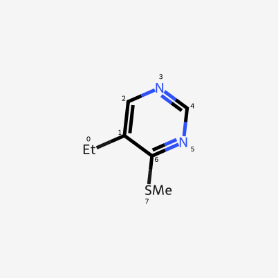 CCc1cncnc1SC